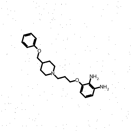 Nc1cccc(OCCCN2CCC(COc3ccccc3)CC2)c1N